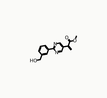 C=C(C(=O)OC)c1cnc(-c2cccc(CO)c2)nc1